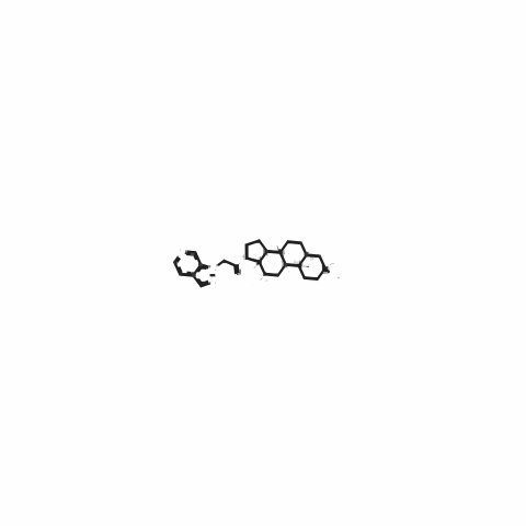 C[C@@]1(O)CC[C@@]2(C)[C@@H](CC[C@@H]3[C@@H]2C[C@@H](O)[C@]2(C)[C@@H](C(=O)Cn4ncc5ccncc54)CC[C@@H]32)C1